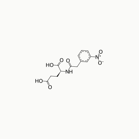 O=C(O)CC[C@H](NC(=O)Cc1cccc([N+](=O)[O-])c1)C(=O)O